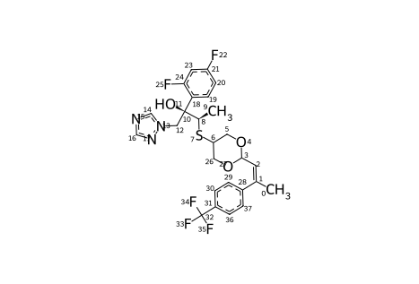 CC(=CC1OCC(S[C@H](C)[C@](O)(Cn2cncn2)c2ccc(F)cc2F)CO1)c1ccc(C(F)(F)F)cc1